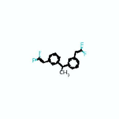 CC(c1cccc(C=C(F)F)c1)c1cccc(C=C(F)F)c1